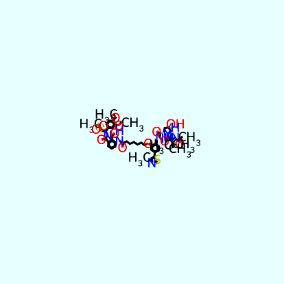 CCOc1cc(C(CS(C)(=O)=O)N2C(=O)c3cccc(NC(=O)CCCCCCOc4cc(-c5scnc5C)ccc4CNC(=O)[C@@H]4C[C@@H](O)CN4C(=O)C(NC(C)=O)C(C)(C)C)c3C2=O)ccc1OC